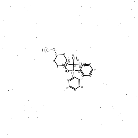 CO[C@H]1CC[C@H](O[Si](c2ccccc2)(c2ccccc2)C(C)(C)C)CC1